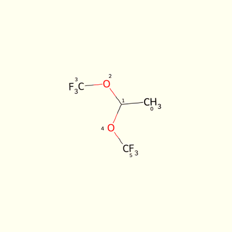 CC(OC(F)(F)F)OC(F)(F)F